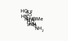 C=CC(=O)Nc1cc(Nc2cc(N[C@H](CCO)c3cccc(F)c3F)ncn2)c(OC)cc1N1CCC(N)CC1